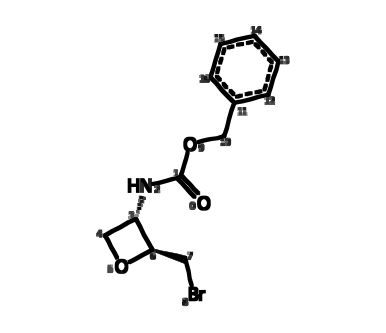 O=C(N[C@H]1CO[C@@H]1CBr)OCc1ccccc1